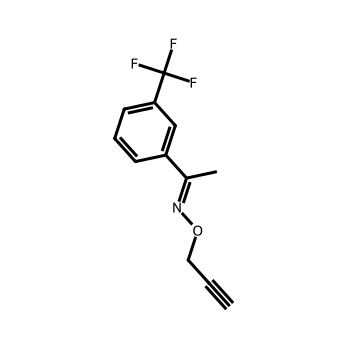 C#CCO/N=C(\C)c1cccc(C(F)(F)F)c1